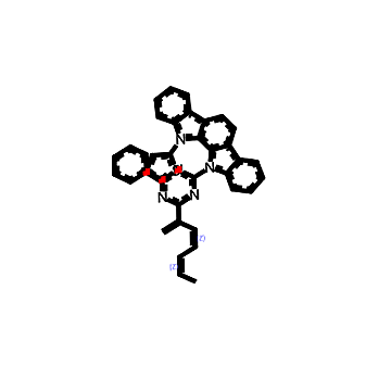 C=C(/C=C\C=C/C)c1nc(-c2ccccc2)nc(-n2c3ccccc3c3ccc4c5ccccc5n(-c5cccs5)c4c32)n1